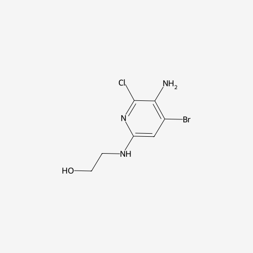 Nc1c(Br)cc(NCCO)nc1Cl